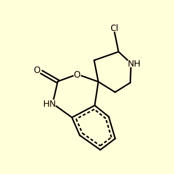 O=C1Nc2ccccc2C2(CCNC(Cl)C2)O1